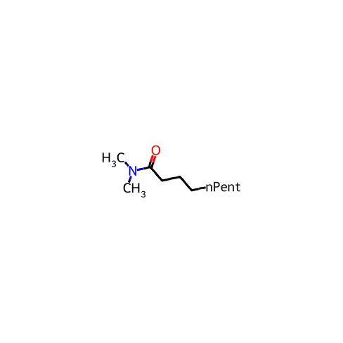 CCCCCCCCC(=O)N(C)C